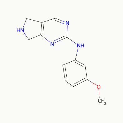 FC(F)(F)Oc1cccc(Nc2ncc3c(n2)CNC3)c1